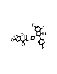 O=C1CC(C(=O)NC[C@H]2C[C@H](c3c(-c4ccc(F)cc4)[nH]c4c(F)cc(F)cc43)C2)C(=O)N1